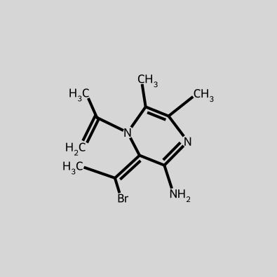 C=C(C)N1C(C)=C(C)N=C(N)/C1=C(/C)Br